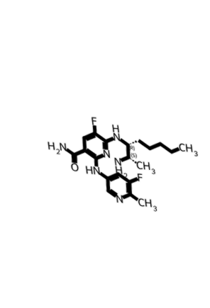 CCCCC[C@@H](Nc1nc(Nc2cnc(C)c(F)c2)c(C(N)=O)cc1F)[C@H](C)N